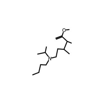 C=C(OC)C(C)C(C)CCN(CCCC)C(C)C